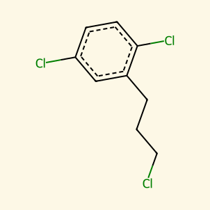 ClCCCc1cc(Cl)ccc1Cl